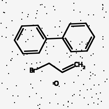 C=CCBr.[O].c1ccc(-c2ccccc2)cc1